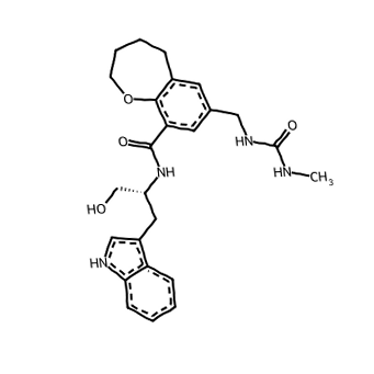 CNC(=O)NCc1cc2c(c(C(=O)N[C@@H](CO)Cc3c[nH]c4ccccc34)c1)OCCCC2